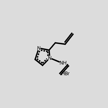 Br.C=C.C=CCc1nccn1N